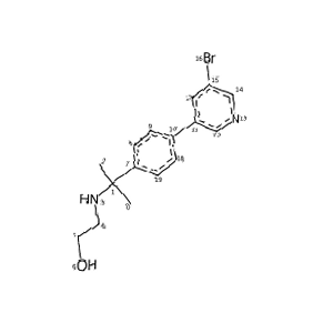 CC(C)(NCCO)c1ccc(-c2cncc(Br)c2)cc1